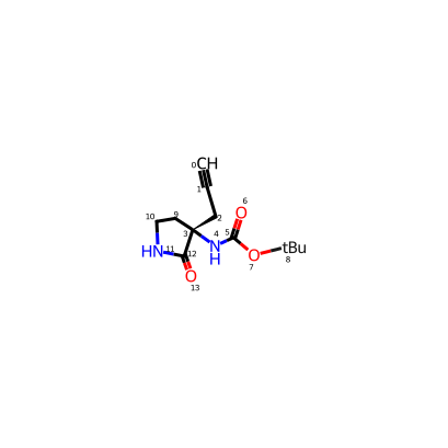 C#CC[C@]1(NC(=O)OC(C)(C)C)CCNC1=O